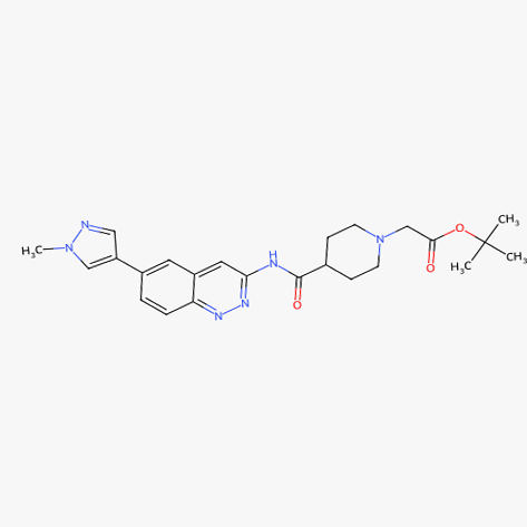 Cn1cc(-c2ccc3nnc(NC(=O)C4CCN(CC(=O)OC(C)(C)C)CC4)cc3c2)cn1